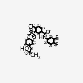 CC(=O)C[C@]1(O)CC[C@H](CS(=O)(=O)c2cc(C(=O)Nc3ccc(F)c(F)c3)ccc2Cl)CC1